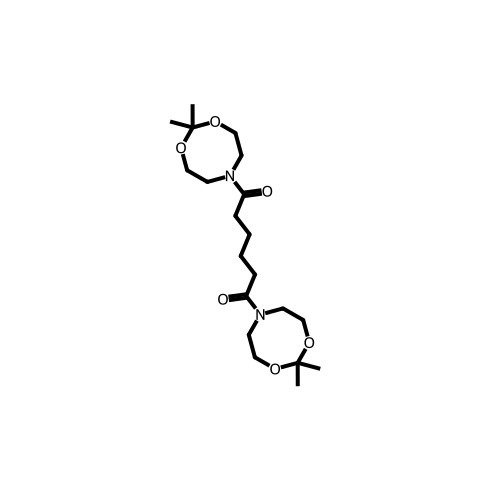 CC1(C)OCCN(C(=O)CCCCC(=O)N2CCOC(C)(C)OCC2)CCO1